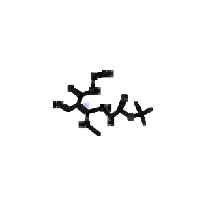 CN/C(NNC(=O)OC(C)(C)C)=C(\C=N)C(=O)NN=N